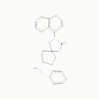 CN(C)[C@@H]1CCC2(C[C@@H]1c1ccccc1)CN(c1cccc3cnccc13)C(=O)N2